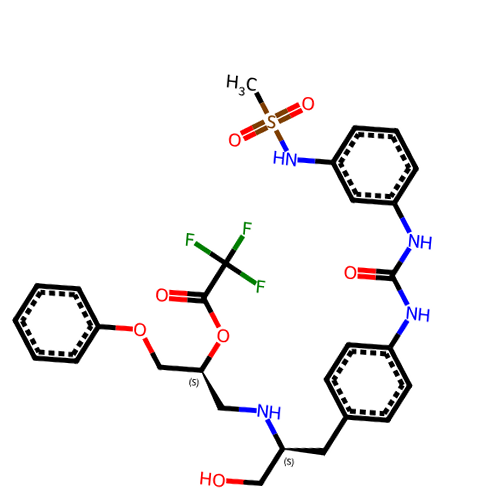 CS(=O)(=O)Nc1cccc(NC(=O)Nc2ccc(C[C@@H](CO)NC[C@@H](COc3ccccc3)OC(=O)C(F)(F)F)cc2)c1